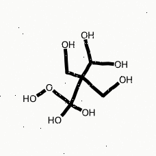 OCC(CO)(C(O)O)C(O)(O)OO